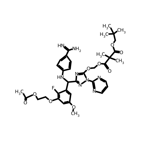 COc1cc(OCCOC(C)=O)c(F)c(C(Nc2ccc(C(=N)N)cc2)c2nc(OCOC(=O)C(C)(C)C(=O)OCC(C)(C)C)n(-c3ncccn3)n2)c1